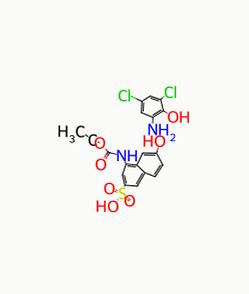 CCOC(=O)Nc1cc(S(=O)(=O)O)cc2ccc(O)cc12.Nc1cc(Cl)cc(Cl)c1O